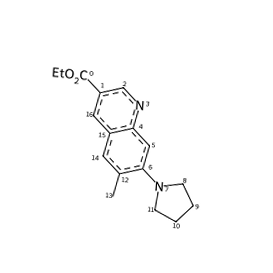 CCOC(=O)c1cnc2cc(N3CCCC3)c(C)cc2c1